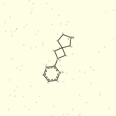 c1cnc(N2CC3(CCNC3)C2)nc1